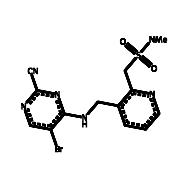 CNS(=O)(=O)Cc1ncccc1CNc1nc(C#N)ncc1Br